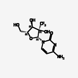 Nc1ccn([C@@H]2O[C@H](CO)[C@@H](O)[C@]2(O)C(F)(F)F)c(=O)n1